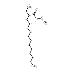 CCCCCCCCCCCCC(CC)C(=O)OOC